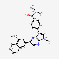 COc1cc(-c2cnc3c(n2)c(-c2ccc(C(=O)N(C)C)cc2)cn3C)cc2c1CNCC2